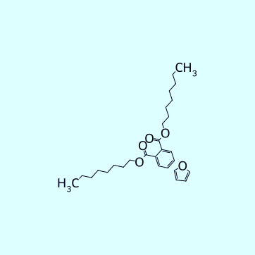 CCCCCCCCOC(=O)c1ccccc1C(=O)OCCCCCCCC.c1ccoc1